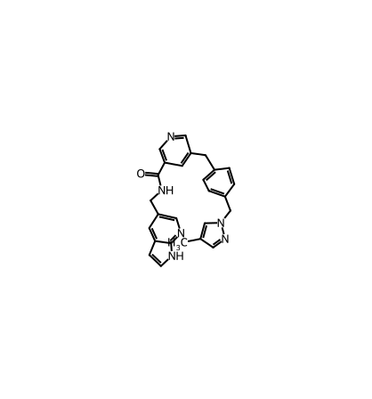 Cc1cnn(Cc2ccc(Cc3cncc(C(=O)NCc4cnc5[nH]ccc5c4)c3)cc2)c1